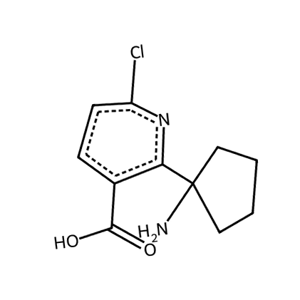 NC1(c2nc(Cl)ccc2C(=O)O)CCCC1